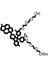 COCCOCCOCCOc1ccc(C2(c3ccc(COCCOCCOCCO)c(C)c3)c3cc(C)ccc3-c3ccc(-c4ccc5c6c7c(ccc46)C=CC(C)C7=CC5)cc32)cc1N(C)C